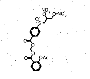 CC(=O)Oc1ccccc1C(=O)OCOC(=O)c1ccc([S+]([O-])CC(CO[N+](=O)[O-])O[N+](=O)[O-])cc1